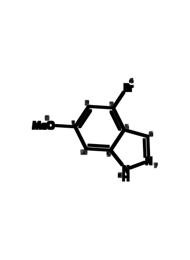 COc1cc(Br)c2cn[nH]c2c1